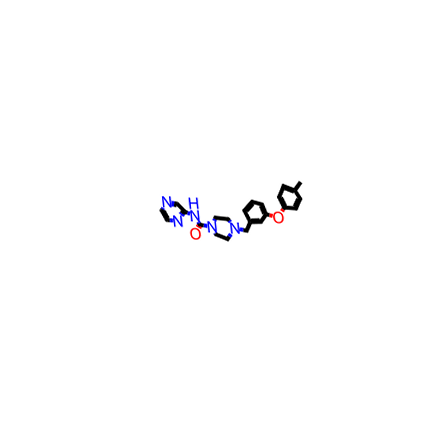 Cc1ccc(Oc2cccc(CN3CCN(C(=O)Nc4cnccn4)CC3)c2)cc1